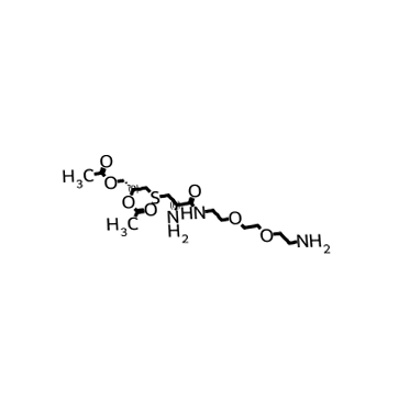 CC(=O)OC[C@H](CSC[C@H](N)C(=O)NCCOCCOCCN)OC(C)=O